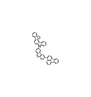 c1ccc2c(c1)-c1cccc3c(-c4ccc5sc6ccc(-n7c8ccccc8c8c9oc%10ccccc%10c9ccc87)cc6c5c4)ccc-2c13